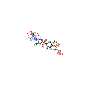 C[C@@](O)(C(=O)Nc1ccc(S(=O)(=O)c2ccc([S+]([O-])CCO)c(F)c2)cc1Cl)C(F)(F)F